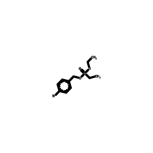 CCOP(=O)(CC)OCc1ccc(Br)cc1